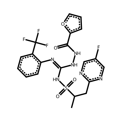 CC(Cc1ncc(F)cn1)S(=O)(=O)N/C(=N\c1ccccc1C(F)(F)F)NNC(=O)c1ccco1